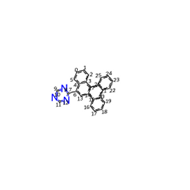 c1ccc2c(c1)c(-c1ncncn1)cc1c3ccccc3c3ccccc3c21